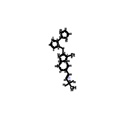 CCc1c(Cn2ccnc2-c2nccs2)nc2ncc(/C=C/C(C)(C)O)cn12